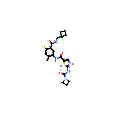 Cc1cc(F)c(C(=O)NCC2(F)CCC2)cc1NC(=O)c1cnc(NC(=O)N2CCC2)s1